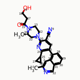 Cc1cc2c(-c3cc(C#N)c(N4CCN(C(=O)CCO)[C@H](C)C4)nc3C3CC3)cccc2cn1